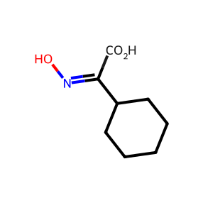 O=C(O)C(=NO)C1CCCCC1